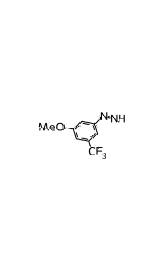 COc1cc(N=N)cc(C(F)(F)F)c1